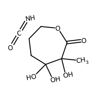 CC1(O)C(=O)OCCCC1(O)O.N=C=O